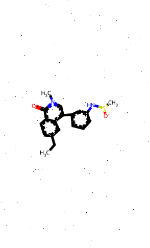 CCc1ccc2c(=O)n(C)cc(-c3cccc(N[S+](C)[O-])c3)c2c1